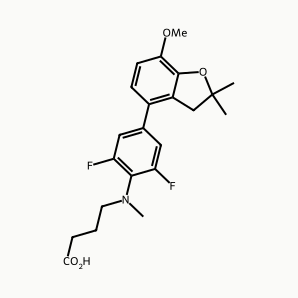 COc1ccc(-c2cc(F)c(N(C)CCCC(=O)O)c(F)c2)c2c1OC(C)(C)C2